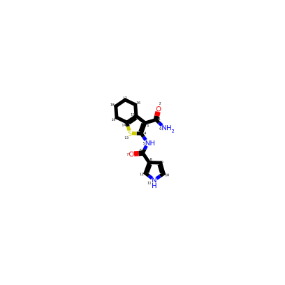 NC(=O)c1c(NC(=O)c2cc[nH]c2)sc2c1CCCC2